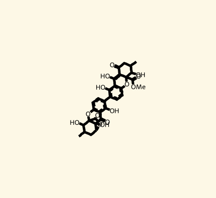 COC(=O)C12Oc3ccc(-c4ccc5c(c4O)C(=O)C4(O)C6CC(C)C(O)C4(O5)C(=O)O6)c(O)c3C(O)=C1C(=O)CC(C)C2O